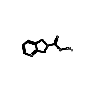 COC(=O)N1Cc2cccnc2C1